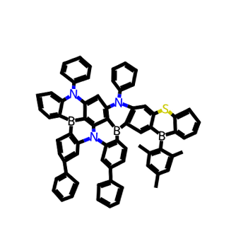 Cc1cc(C)c(B2c3ccccc3Sc3cc4c(cc32)B2c3ccc(-c5ccccc5)cc3N3c5cc(-c6ccccc6)ccc5B5c6ccccc6N(c6ccccc6)c6cc(c2c3c65)N4c2ccccc2)c(C)c1